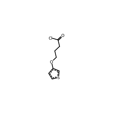 O=C(Cl)CCCOc1ccsc1